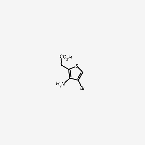 Nc1c(Br)csc1CC(=O)O